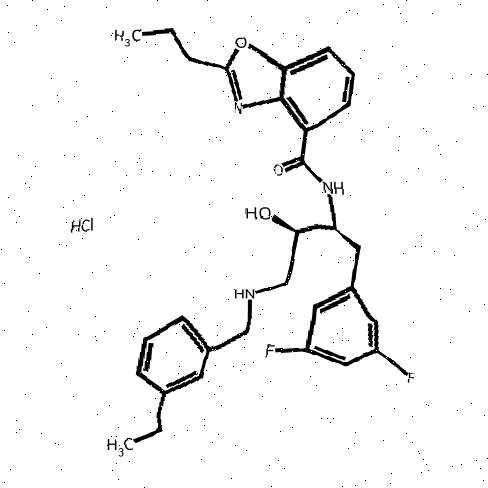 CCCc1nc2c(C(=O)N[C@@H](Cc3cc(F)cc(F)c3)[C@H](O)CNCc3cccc(CC)c3)cccc2o1.Cl